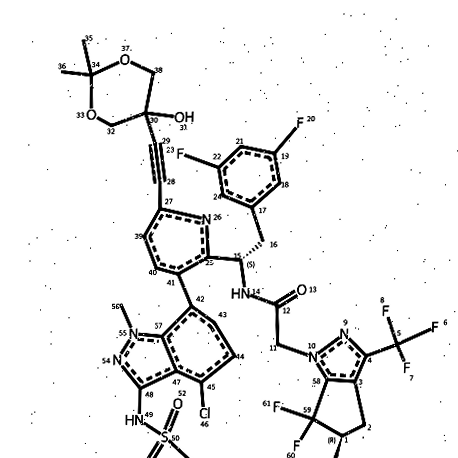 C[C@@H]1Cc2c(C(F)(F)F)nn(CC(=O)N[C@@H](Cc3cc(F)cc(F)c3)c3nc(C#CC4(O)COC(C)(C)OC4)ccc3-c3ccc(Cl)c4c(NS(C)(=O)=O)nn(C)c34)c2C1(F)F